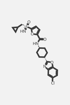 N=[S@](=O)(CC1CC1)c1ccc(C(=O)N[C@H]2CC[C@@H](c3nc4cc(Cl)ccc4o3)CC2)o1